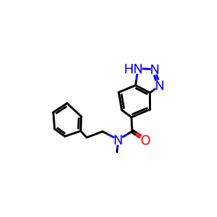 CN(CCc1ccccc1)C(=O)c1ccc2[nH]nnc2c1